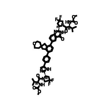 COC(=O)N[C@H](C(=O)N1CC(F)(F)C[C@H]1c1ncc(-c2ccc(-c3ccc(-c4ccc5nc([C@@H]6CC(F)(F)CN6C(=O)[C@@H](NC(=O)OC)C(C)C)[nH]c(=O)c5c4)c4c3CC3(CCOCC3)C4)cc2)[nH]1)C(C)C